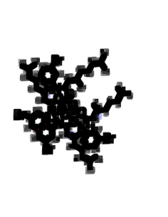 CC(C)=CCC/C(C)=C/C(Nc1cccc(Br)c1)OP(=O)(OC(/C=C(\C)CCC=C(C)C)Nc1cccc(Br)c1)OP(=O)(OC(/C=C(\C)CCC=C(C)C)Nc1cccc(Br)c1)OC(/C=C(\C)CCC=C(C)C)Nc1cccc(Br)c1